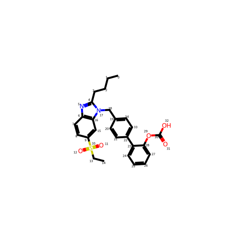 CCCCc1nc2ccc(S(=O)(=O)CC)cc2n1Cc1ccc(-c2ccccc2OC(=O)O)cc1